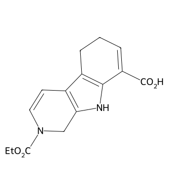 CCOC(=O)N1C=Cc2c([nH]c3c2CCC=C3C(=O)O)C1